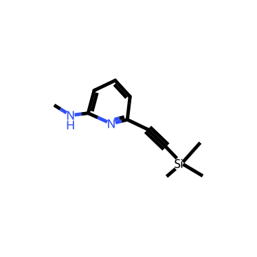 CNc1cccc(C#C[Si](C)(C)C)n1